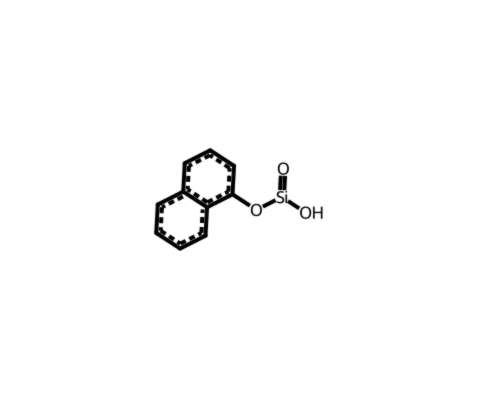 O=[Si](O)Oc1cccc2ccccc12